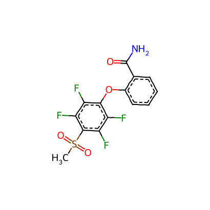 CS(=O)(=O)c1c(F)c(F)c(Oc2ccccc2C(N)=O)c(F)c1F